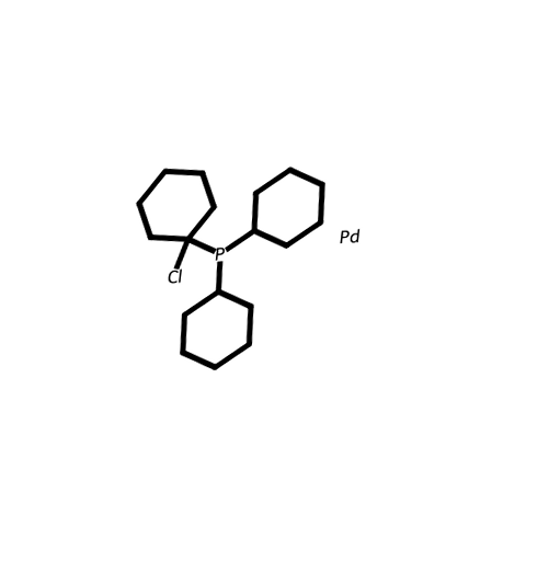 ClC1(P(C2CCCCC2)C2CCCCC2)CCCCC1.[Pd]